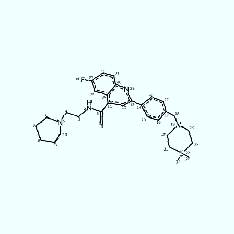 C=C(NCCN1CCCCC1)c1cc(-c2ccc(CN3CCS(C)(C)CC3)cc2)nc2ccc(F)cc12